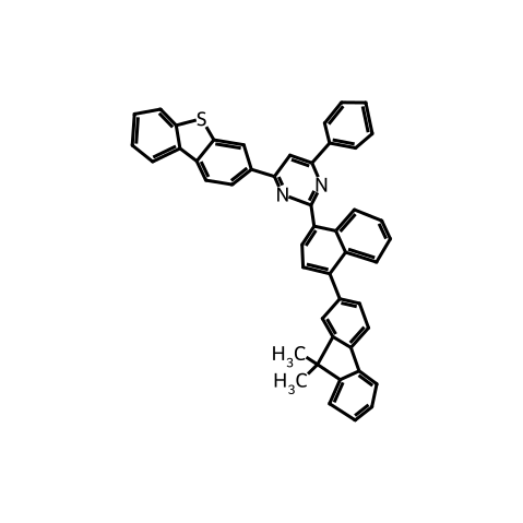 CC1(C)c2ccccc2-c2ccc(-c3ccc(-c4nc(-c5ccccc5)cc(-c5ccc6c(c5)sc5ccccc56)n4)c4ccccc34)cc21